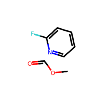 COC=O.Fc1ccccn1